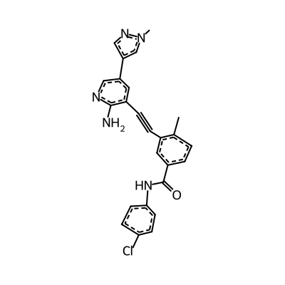 Cc1ccc(C(=O)Nc2ccc(Cl)cc2)cc1C#Cc1cc(-c2cnn(C)c2)cnc1N